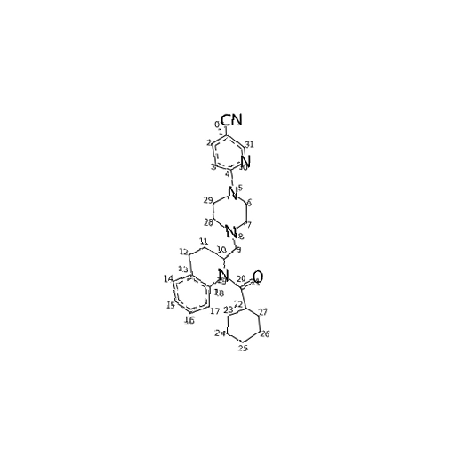 N#Cc1ccc(N2CCN(CC3CCc4ccccc4N3C(=O)C3CCCCC3)CC2)nc1